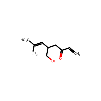 C=CC(=O)CC(C=C(C)C(=O)O)CO